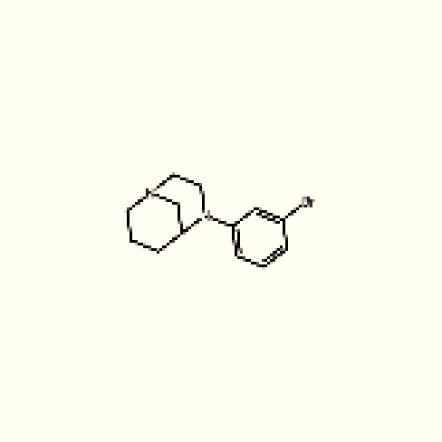 Brc1cccc(N2CCN3CCCC2C3)c1